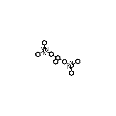 c1ccc(-c2cc(-c3ccccc3)nc(-c3ccc(-c4ccc(-c5ccc(-c6nc(-c7ccccc7)nc(-c7ccccc7)n6)cc5)c5ccccc45)cc3)n2)cc1